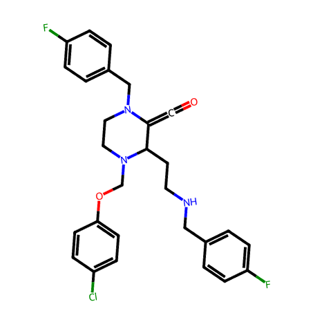 O=C=C1C(CCNCc2ccc(F)cc2)N(COc2ccc(Cl)cc2)CCN1Cc1ccc(F)cc1